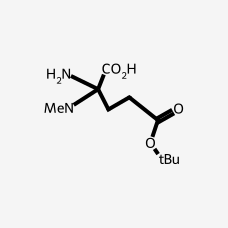 CNC(N)(CCC(=O)OC(C)(C)C)C(=O)O